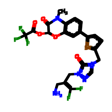 CN1C(=O)C(OC(=O)C(F)(F)F)Oc2cc(-c3ccc(Cn4cnn(CC(CN)=C(F)F)c4=O)s3)ccc21